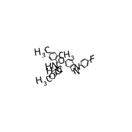 CC[C@@](NC(=O)COC)(Oc1ccc2c(cnn2-c2ccc(F)cc2)c1)c1ccc(C)cc1C